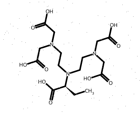 CC[C@@H](C(=O)O)N(CCN(CC(=O)O)CC(=O)O)CCN(CC(=O)O)CC(=O)O